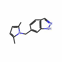 Cc1ccc(C)n1Cc1ccc2cn[nH]c2c1